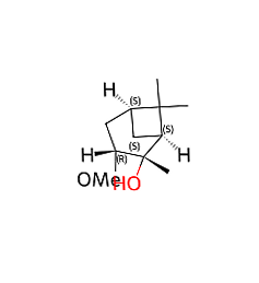 CO[C@@H]1C[C@@H]2C[C@@H](C2(C)C)[C@]1(C)O